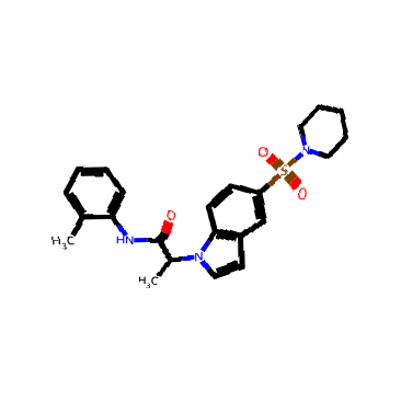 Cc1ccccc1NC(=O)C(C)n1ccc2cc(S(=O)(=O)N3CCCCC3)ccc21